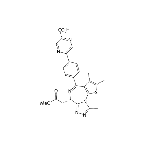 COC(=O)C[C@@H]1N=C(c2ccc(-c3cnc(C(=O)O)cn3)cc2)c2c(sc(C)c2C)-n2c(C)nnc21